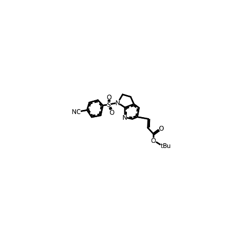 CC(C)(C)OC(=O)/C=C/c1cnc2c(c1)CCN2S(=O)(=O)c1ccc(C#N)cc1